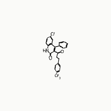 O=C(CCc1ccc(C(F)(F)F)cc1)c1c(-c2ccccc2)c2cc(Cl)ccc2[nH]c1=O